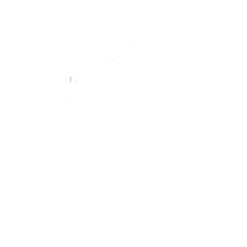 C=CC(=O)NCNC(=O)C=C.CCOC(OCC)C(=O)c1ccccc1